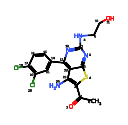 CC(=O)c1sc2nc(NCCO)nc(-c3ccc(Cl)c(Cl)c3)c2c1N